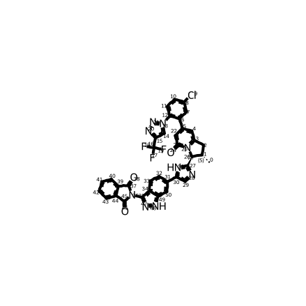 C[C@H]1Cc2cc(-c3cc(Cl)ccc3-n3cc(C(F)(F)F)nn3)cc(=O)n2[C@@H]1c1ncc(-c2ccc3c(N4C(=O)c5ccccc5C4=O)n[nH]c3c2)[nH]1